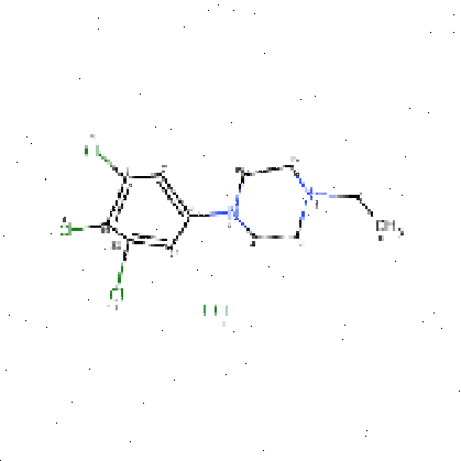 CCN1CCN(c2cc(Cl)c(Cl)c(Cl)c2)CC1.Cl